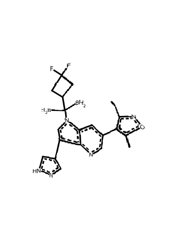 BC(B)(C1CC(F)(F)C1)n1cc(-c2cn[nH]c2)c2ncc(-c3c(C)noc3C)cc21